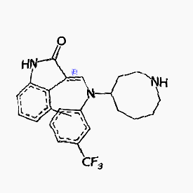 Cc1cccc2c1/C(=C\N(c1cccc(C(F)(F)F)c1)C1CCCCNCC1)C(=O)N2